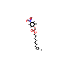 C=CC=CCCCCOC(=O)Oc1ccc([N+](=O)[O-])cc1